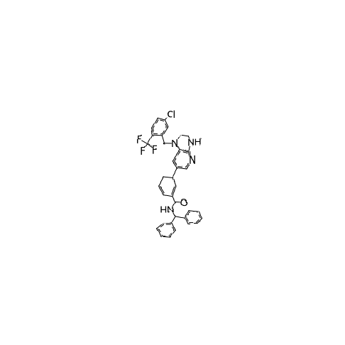 O=C(NC(c1ccccc1)c1ccccc1)C1=CC(c2cnc3c(c2)N(Cc2cc(Cl)ccc2C(F)(F)F)CCN3)CC=C1